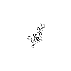 C=C(CC(=O)OC(CCOC)C(=O)Oc1cccc(C)c1)C(=O)OC(CCOC)C(=O)Oc1cccc(C)c1